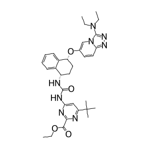 CCOC(=O)c1nc(NC(=O)N[C@H]2CC[C@@H](Oc3ccc4nnc(N(CC)CC)n4c3)c3ccccc32)cc(C(C)(C)C)n1